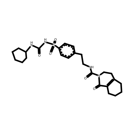 O=C(NC1CCCCC1)NS(=O)(=O)c1ccc(CCNC(=O)N2CCC3=C(CCCC3)C2=O)cc1